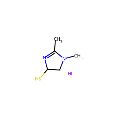 CC1=NC(S)CN1C.I